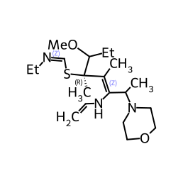 C=CN/C(=C(/C)[C@@](C)(S/C=N\CC)C(CC)OC)C(C)N1CCOCC1